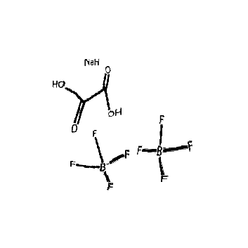 F[B-](F)(F)F.F[B-](F)(F)F.O=C(O)C(=O)O.[NaH]